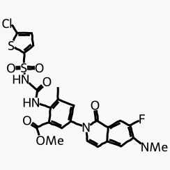 CNc1cc2ccn(-c3cc(C)c(NC(=O)NS(=O)(=O)c4ccc(Cl)s4)c(C(=O)OC)c3)c(=O)c2cc1F